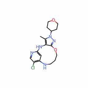 Cc1c2c(nn1C1CCOCC1)OCCCNc1cc(ncc1Cl)N2